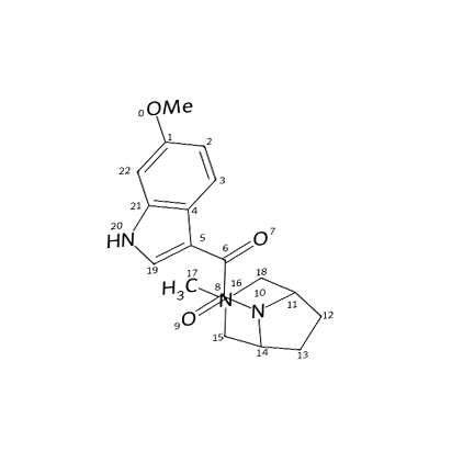 COc1ccc2c(C(=O)C(=O)N3C4CCC3CN(C)C4)c[nH]c2c1